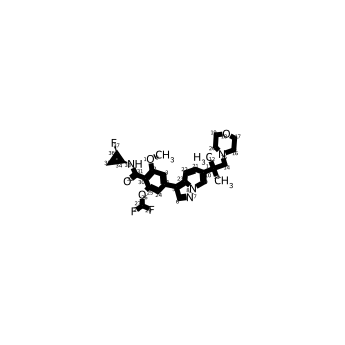 COc1cc(-c2cnn3cc(C(C)(C)CN4CCOCC4)ccc23)cc(OC(F)F)c1C(=O)N[C@@H]1C[C@@H]1F